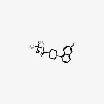 CC(C)(C)OC(=O)N1CCN(c2cccc3cc(F)ccc23)CC1